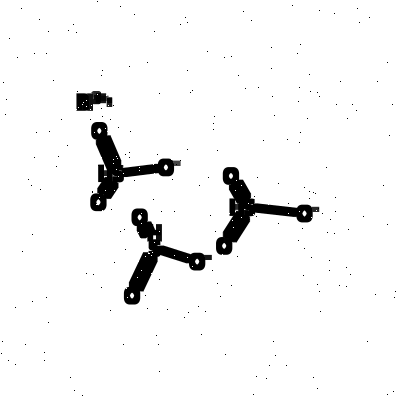 O=[SH](=O)[O-].O=[SH](=O)[O-].O=[SH](=O)[O-].[Bi+3]